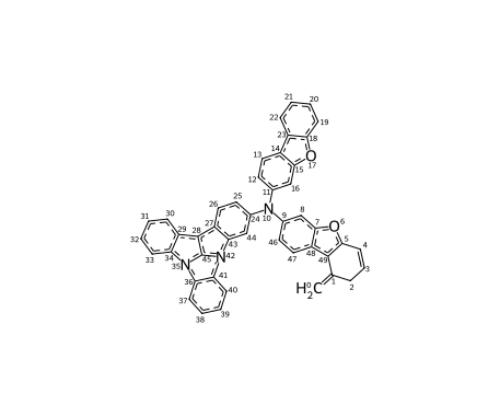 C=C1CC=Cc2oc3cc(N(c4ccc5c(c4)oc4ccccc45)c4ccc5c6c7ccccc7n7c8ccccc8n(c5c4)c67)ccc3c21